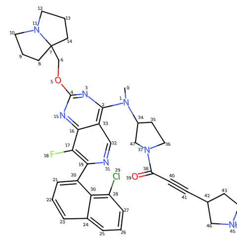 CN(c1nc(OCC23CCCN2CCC3)nc2c(F)c(-c3cccc4cccc(Cl)c34)ncc12)C1CCN(C(=O)C#CC2CCNC2)C1